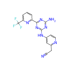 N#CCc1cc(Nc2nc(N)nc(-c3cccc(C(F)(F)F)n3)n2)ccn1